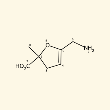 CC1(C(=O)O)CC=C(CN)O1